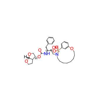 O=C(N[C@@H](Cc1ccccc1)[C@H](O)CN1CCCCCCCCOc2cccc(c2)S1(=O)=O)O[C@H]1CO[C@H]2OCCC21